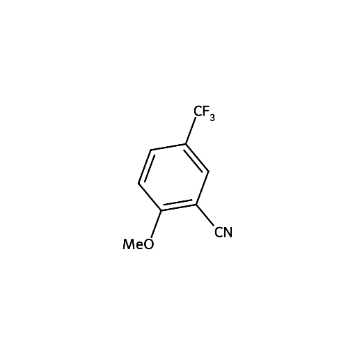 COc1ccc(C(F)(F)F)cc1C#N